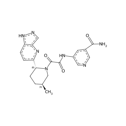 C[C@H]1CC[C@H](c2ccc3[nH]ncc3n2)N(C(=O)C(=O)Nc2cncc(C(N)=O)c2)C1